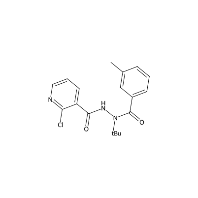 Cc1cccc(C(=O)N(NC(=O)c2cccnc2Cl)C(C)(C)C)c1